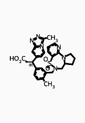 Cc1ccc([C@@H](CC(=O)O)c2ccn3c(C)nnc3c2)cc1CN1CC2CCCN2c2ncccc2S1(=O)=O